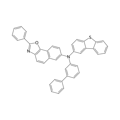 c1ccc(-c2cccc(N(c3ccc4c(ccc5nc(-c6ccccc6)oc54)c3)c3ccc4sc5ccccc5c4c3)c2)cc1